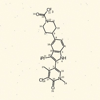 Cc1c(-c2[nH]c3ccc(C4CCN(C(=O)C(F)(F)F)CC4)cc3c2C(C)C)cn(C)c(=O)c1Cl